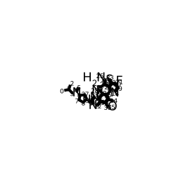 CC(C)CN(C)[C@H]1CCN(c2ncc3c4c(c(-c5ncc(F)c6sc(N)c(C#N)c56)c(F)c3n2)COC4)C1